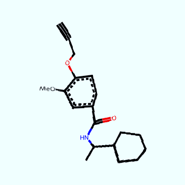 C#CCOc1ccc(C(=O)NC(C)C2CCCCC2)cc1OC